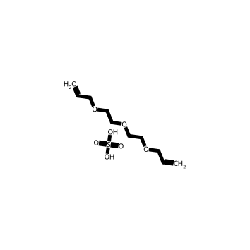 C=CCOCCOCCOCC=C.O=S(=O)(O)O